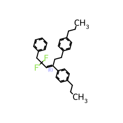 CCCc1ccc(CC/C(=C\C(F)(F)Cc2ccccc2)c2ccc(CCC)cc2)cc1